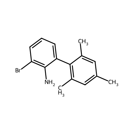 Cc1cc(C)c(-c2cccc(Br)c2N)c(C)c1